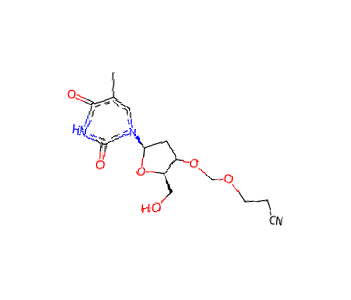 Cc1cn([C@H]2CC(OCOCCC#N)[C@@H](CO)O2)c(=O)[nH]c1=O